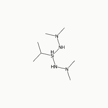 CC(C)[SiH](NN(C)C)NN(C)C